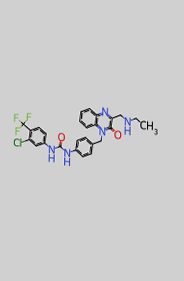 CCNCc1nc2ccccc2n(Cc2ccc(NC(=O)Nc3ccc(C(F)(F)F)c(Cl)c3)cc2)c1=O